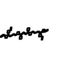 C=COC(CCCOC(=O)CCC(=O)OCCCC(OC=C)OC=C)OC=C